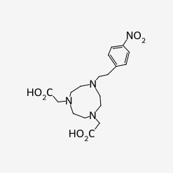 O=C(O)CN1CCN(CCc2ccc([N+](=O)[O-])cc2)CCN(CC(=O)O)CC1